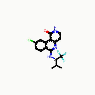 CC(C)[C@@H](Nc1nc2cc[nH]c(=O)c2c2cc(Cl)ccc12)C(F)(F)F